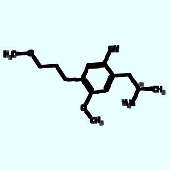 COCCCc1cc(O)c(C[C@@H](C)N)cc1OC